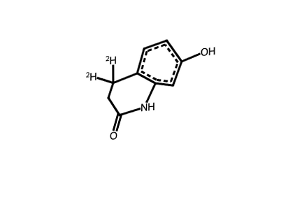 [2H]C1([2H])CC(=O)Nc2cc(O)ccc21